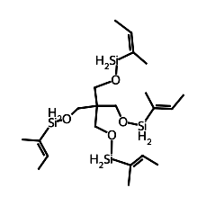 CC=C(C)[SiH2]OCC(CO[SiH2]C(C)=CC)(CO[SiH2]C(C)=CC)CO[SiH2]C(C)=CC